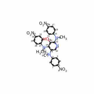 CN(c1ccc([N+](=O)[O-])cc1)c1cnc(N(C)c2ccc([N+](=O)[O-])cc2)c(O)c1N(C)c1ccc([N+](=O)[O-])cc1